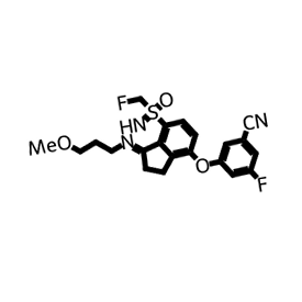 COCCCN=C1CCc2c(Oc3cc(F)cc(C#N)c3)ccc(S(=N)(=O)CF)c21